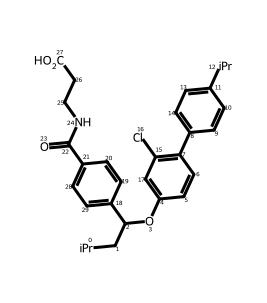 CC(C)CC(Oc1ccc(-c2ccc(C(C)C)cc2)c(Cl)c1)c1ccc(C(=O)NCCC(=O)O)cc1